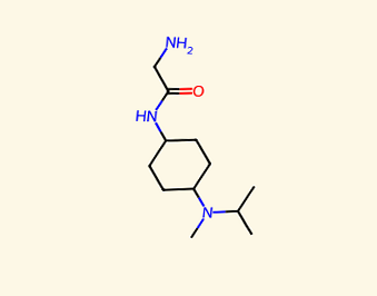 CC(C)N(C)C1CCC(NC(=O)CN)CC1